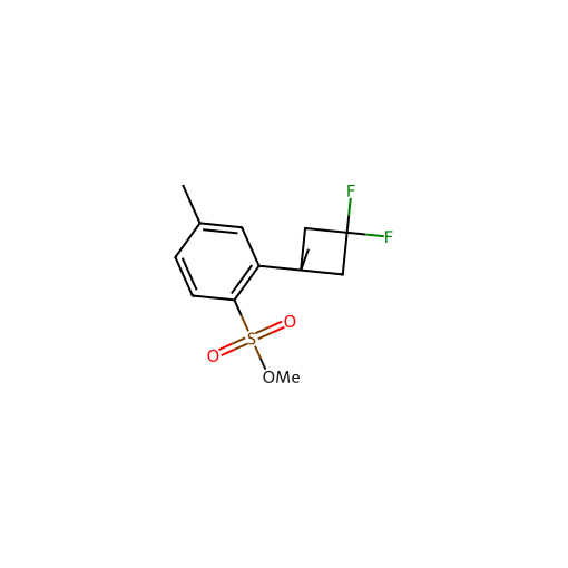 COS(=O)(=O)c1ccc(C)cc1C1(C)CC(F)(F)C1